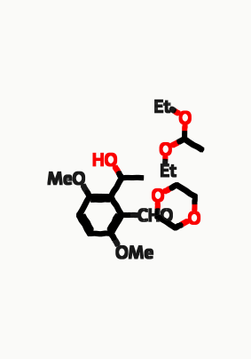 C1COCCO1.CCOC(C)OCC.COc1ccc(OC)c(C(C)O)c1C=O